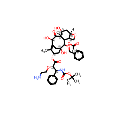 CC(=O)O[C@@]12CO[C@H]1C[C@H](O)[C@@]1(C)C(=O)[C@H](O)C3=C(C)[C@@H](OC(=O)[C@@H](OCCN)[C@@H](NC(=O)OC(C)(C)C)c4ccccc4)C[C@](O)(C3)C(OCc3ccccc3)C12